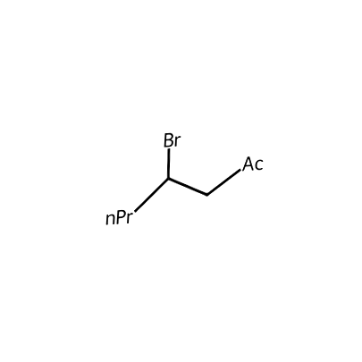 CCCC(Br)CC(C)=O